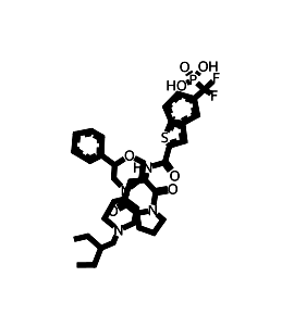 CCC(CC)CN1CCC(CC(NC(=O)c2cc3cc(C(F)(F)P(=O)(O)O)ccc3s2)C(=O)N2CCCC2C(=O)N2CCOC(c3ccccc3)C2)CC1